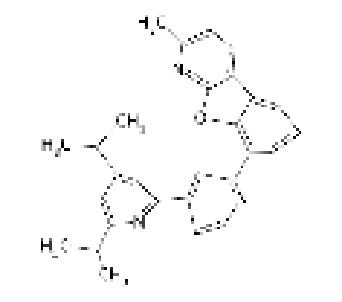 Cc1ccc2c(n1)oc1c(-c3cc(-c4cc(C(C)C)cc(C(C)C)n4)ccn3)cccc12